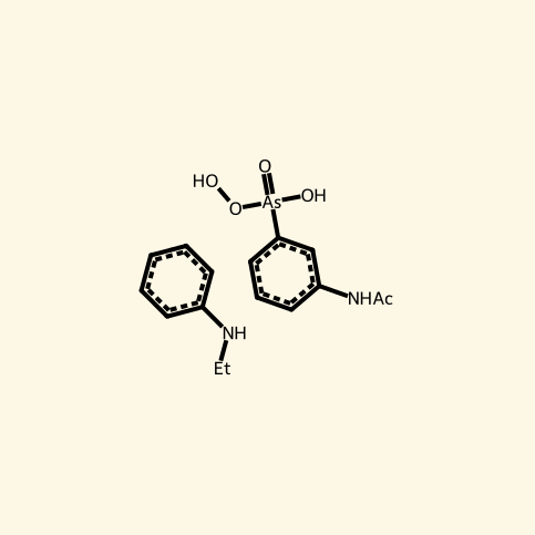 CC(=O)Nc1cccc([As](=O)(O)OO)c1.CCNc1ccccc1